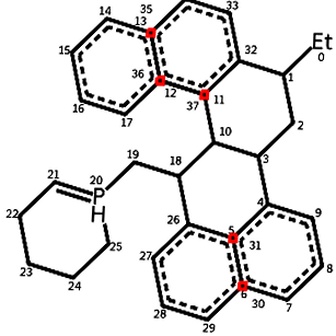 CCC(CC(c1ccccc1)C(Cc1ccccc1)C(C[PH]1=CCCCC1)c1ccccc1)c1ccccc1